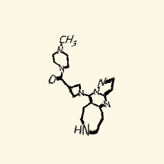 CN1CCN(C(=O)C2CN(c3c4c(nc5ccnn35)CCNCC4)C2)CC1